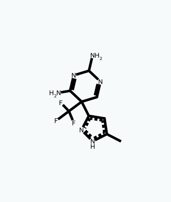 Cc1cc(C2(C(F)(F)F)C=NC(N)N=C2N)n[nH]1